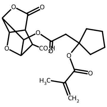 C=C(C)C(=O)OC1(CC(=O)OC2C3OC(=O)C4C3OC2C4C(=O)O)CCCC1